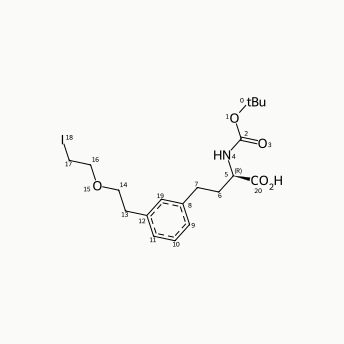 CC(C)(C)OC(=O)N[C@H](CCc1cccc(CCOCCI)c1)C(=O)O